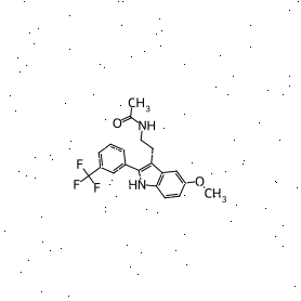 COc1ccc2[nH]c(-c3cccc(C(F)(F)F)c3)c(CCNC(C)=O)c2c1